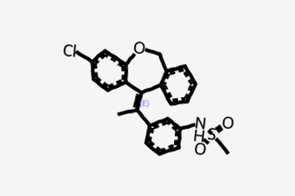 C/C(=C1/c2ccccc2COc2cc(Cl)ccc21)c1cccc(NS(C)(=O)=O)c1